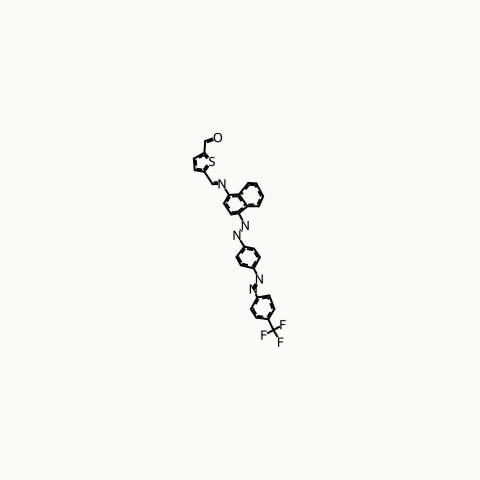 O=Cc1ccc(/C=N/c2ccc(/N=N/c3ccc(/N=N/c4ccc(C(F)(F)F)cc4)cc3)c3ccccc23)s1